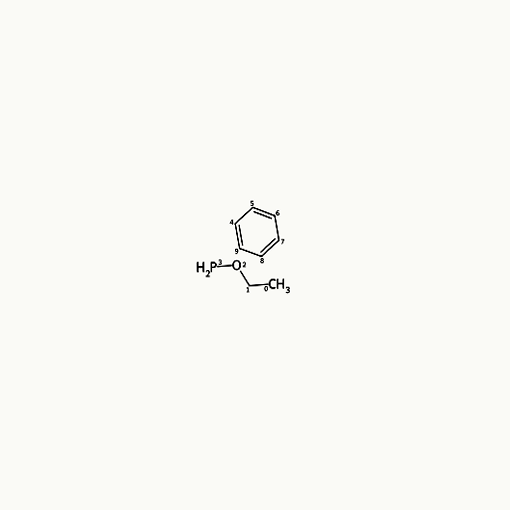 CCOP.c1ccccc1